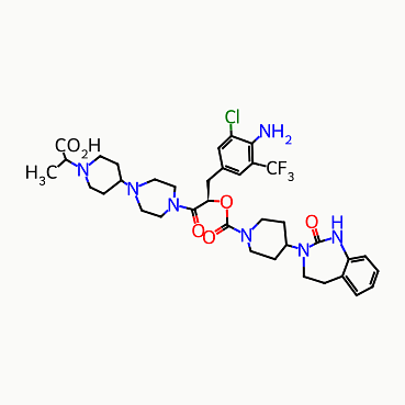 CC(C(=O)O)N1CCC(N2CCN(C(=O)[C@@H](Cc3cc(Cl)c(N)c(C(F)(F)F)c3)OC(=O)N3CCC(N4CCc5ccccc5NC4=O)CC3)CC2)CC1